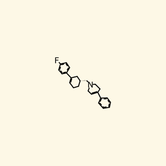 Fc1ccc(C2=CCC[C@@H](CN3CC=C(c4ccccc4)CC3)C2)cc1